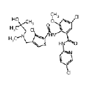 COc1cc(Cl)cc(C(=O)Nc2ccc(Cl)cn2)c1NC(=O)c1scc(CN(C)CC(C)(C)O)c1Cl